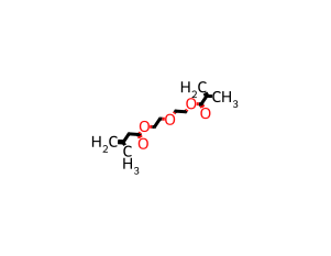 C=C(C)CC(=O)OCCOCCOC(=O)C(=C)C